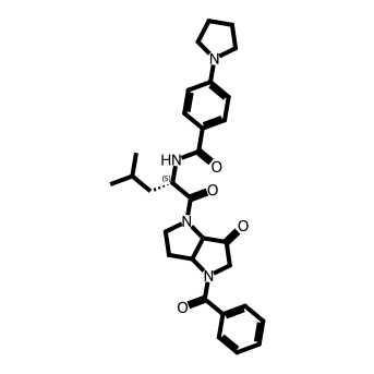 CC(C)C[C@H](NC(=O)c1ccc(N2CCCC2)cc1)C(=O)N1CCC2C1C(=O)CN2C(=O)c1ccccc1